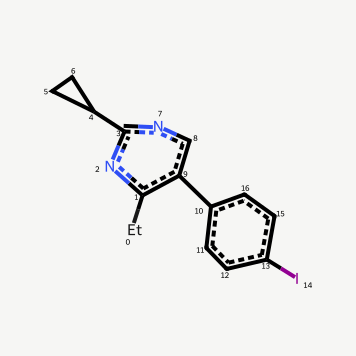 CCc1nc(C2CC2)ncc1-c1ccc(I)cc1